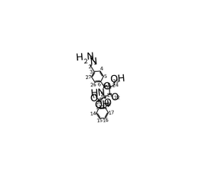 NN=Cc1ccc(C(=O)NC(Oc2ccccc2)(C(=O)O)C(=O)CCO)cc1